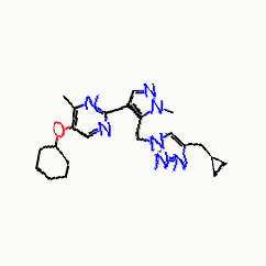 Cc1nc(-c2cnn(C)c2Cn2cc(CC3CC3)nn2)ncc1OC1CCCCC1